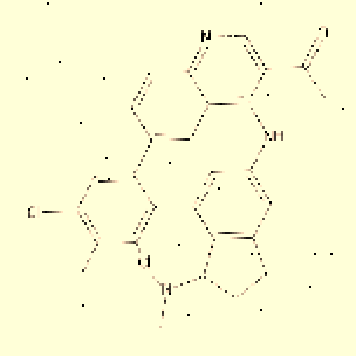 CC(=O)c1cnc2ccc(-c3cc(Cl)c(C)c(Cl)c3)cc2c1Nc1ccc2c(c1)CCC2N(C)C